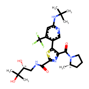 C[C@H]1CCCN1C(=O)c1nc(C(=O)NC[C@@H](O)C(C)(C)O)sc1-c1cnc(NC(C)(C)C)cc1C(F)(F)F